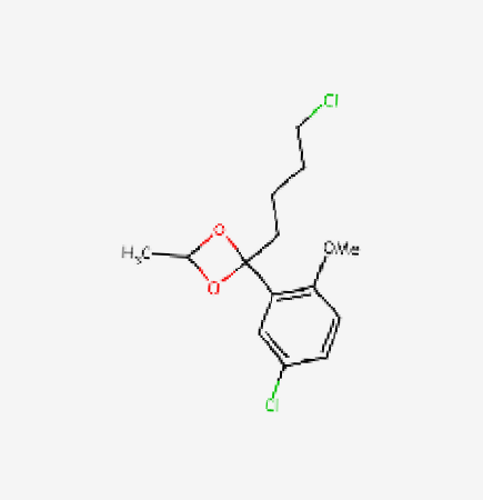 COc1ccc(Cl)cc1C1(CCCCCl)OC(C)O1